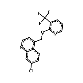 FC(F)(F)c1cccnc1OCc1ccnc2cc(Cl)ccc12